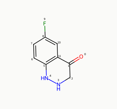 O=C1[CH]NNc2ccc(F)cc21